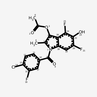 CC(=O)Oc1c(C)n(C(=O)c2ccc(Cl)c(F)c2)c2cc(F)c(O)c(F)c12